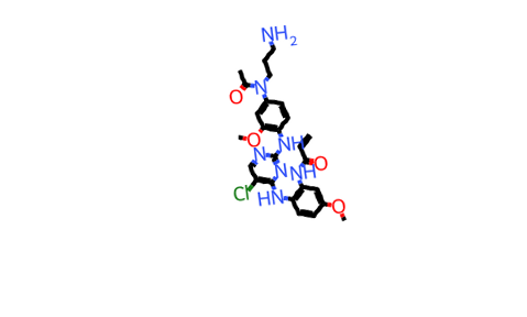 C=CC(=O)Nc1cc(OC)ccc1Nc1nc(Nc2ccc(N(CCCN)C(C)=O)cc2OC)ncc1Cl